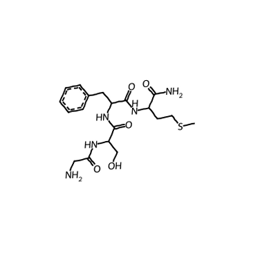 CSCCC(NC(=O)C(Cc1ccccc1)NC(=O)C(CO)NC(=O)CN)C(N)=O